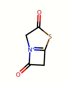 O=C1C[N+]2=C(CC2=O)S1